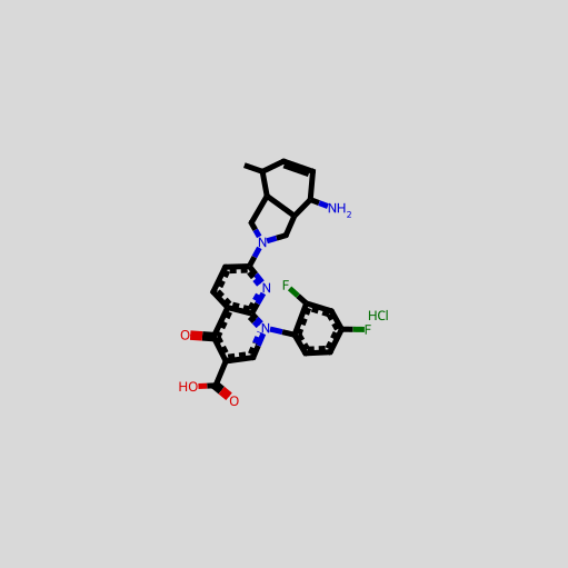 CC1C=CC(N)C2CN(c3ccc4c(=O)c(C(=O)O)cn(-c5ccc(F)cc5F)c4n3)CC12.Cl